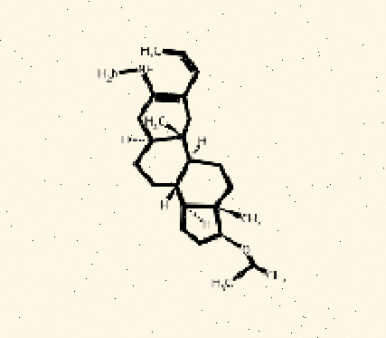 C/C=C\C1=C(NN)C[C@@H]2CC[C@@H]3[C@H](CC[C@]4(C)[C@@H](OC(C)C)CC[C@@H]34)[C@@]2(C)C1